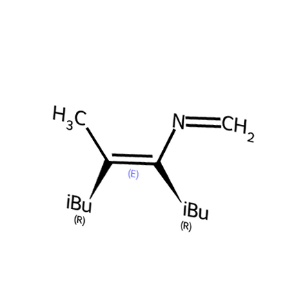 C=N/C(=C(\C)[C@H](C)CC)[C@H](C)CC